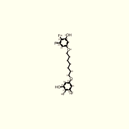 Oc1cc(OCCCCCCCOc2cc(O)c(F)c(F)c2)cc(F)c1F